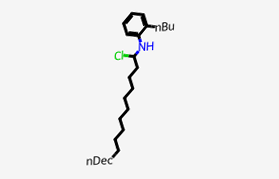 CCCCCCCCCCCCCCCCCCCC(Cl)Nc1ccccc1CCCC